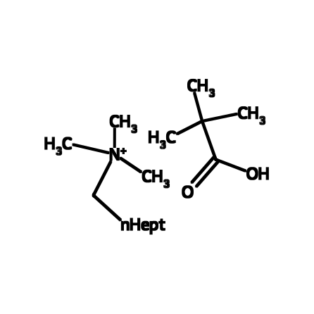 CC(C)(C)C(=O)O.CCCCCCCC[N+](C)(C)C